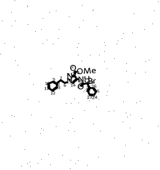 COC(=O)c1nn(CCc2ccccc2)cc1NC(=O)C(Br)c1ccccc1